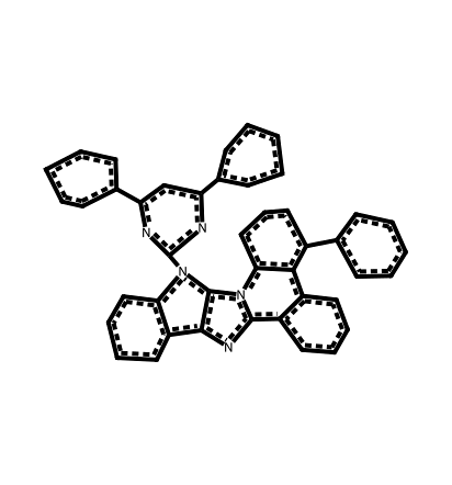 c1ccc(-c2cc(-c3ccccc3)nc(-n3c4ccccc4c4nc5c6ccccc6c6c(-c7ccccc7)cccc6n5c43)n2)cc1